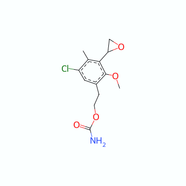 COc1c(CCOC(N)=O)cc(Cl)c(C)c1C1CO1